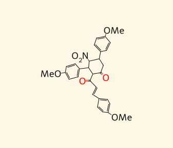 COc1ccc(/C=C/C(=O)C2C(=O)CC(c3ccc(OC)cc3)C([N+](=O)[O-])C2c2ccc(OC)cc2)cc1